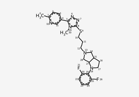 Cc1ccc(-c2nnc(SCCCN3CC4CCN(c5c(F)cccc5F)C4C3)n2C)cn1